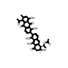 CC(=O)OC(C)[C@@H]1c2cc3ccc(-c4ccc5c(c4O)C(=O)c4c(O)cc(C)c(C(C)=O)c4C5=O)c(O)c3c(O)c2C(=O)C[C@]1(C)O